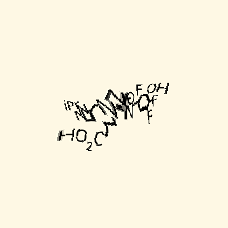 CC(C)n1nccc1CN(CCCC(=O)O)c1noc(-c2cc(F)c(F)c(O)c2F)n1